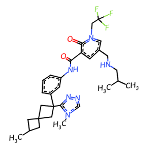 CC(C)CNCc1cc(C(=O)Nc2cccc(C3(c4nncn4C)CC4(CC(C)C4)C3)c2)c(=O)n(CC(F)(F)F)c1